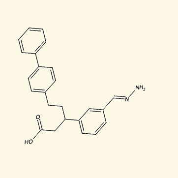 NN=Cc1cccc(C(CCc2ccc(-c3ccccc3)cc2)CC(=O)O)c1